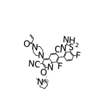 C=CC(=O)N1CCN(c2c(C#N)c(OC[C@@H]3CCCN3C)nc3c(F)c(-c4ccc(F)c5sc(N)nc45)c(Cl)cc23)CC1